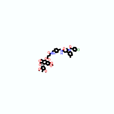 COc1cc([C@H]2c3cc4c(cc3[C@@H](OC(=O)CCC(=O)NCc3ccc(CNC(=O)Cc5c(C)n(C(=O)c6ccc(Cl)cc6)c6ccc(C)cc56)cc3)C3COC(=O)[C@H]32)OCO4)cc(OC)c1C